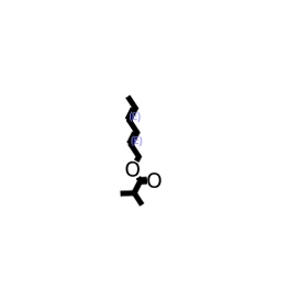 C/C=C/C=C/COC(=O)C(C)C